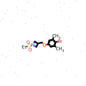 CCS(=O)(=O)N1CC(COc2cc(C)c(Br)c(C)c2)C1